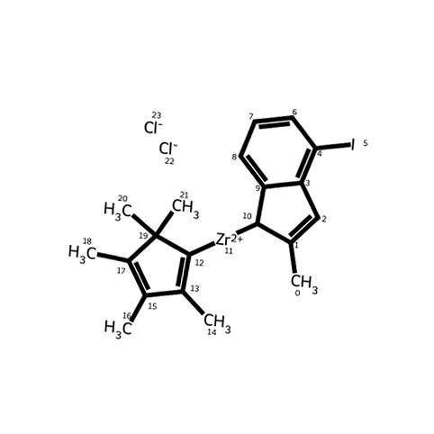 CC1=Cc2c(I)cccc2[CH]1[Zr+2][C]1=C(C)C(C)=C(C)C1(C)C.[Cl-].[Cl-]